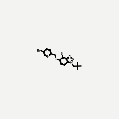 CC(C)(C)Cn1nnc2c(Br)c(OCc3ccc(Br)cn3)ccc21